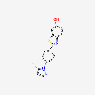 Oc1ccc2nc(-c3ccc(-n4nccc4F)cc3)sc2c1